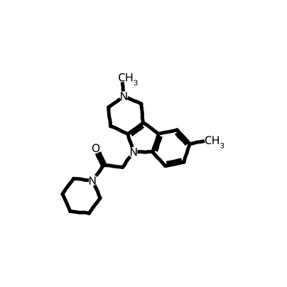 Cc1ccc2c(c1)c1c(n2CC(=O)N2CCCCC2)CCN(C)C1